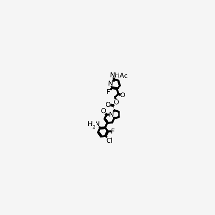 CC(=O)Nc1ccc(C(=O)COC(=O)[C@@H]2CCC3CC(c4c(N)ccc(Cl)c4F)=CC(=O)N32)c(F)n1